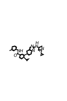 Cc1cccc(NC(=O)c2ccc(C3CC3)c(-c3ccc4nc(Nc5cnn(C6CC6)c5)ncc4c3)c2)c1